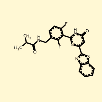 CC(C)C(=O)NCc1ccc(F)c(-c2nc(-c3nc4ccccc4s3)cc(=O)[nH]2)c1F